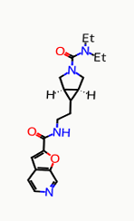 CCN(CC)C(=O)N1C[C@@H]2C(CCNC(=O)c3cc4ccncc4o3)[C@@H]2C1